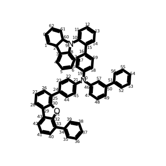 C1=CC2c3ccccc3N(c3ccccc3-c3ccc(N(c4ccc(-c5cccc6c5oc5c(-c7ccccc7)cccc56)cc4)c4cccc(-c5ccccc5)c4)cc3)C2C=C1